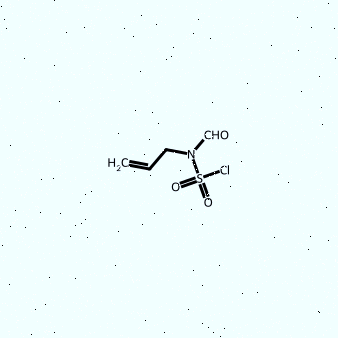 C=CCN(C=O)S(=O)(=O)Cl